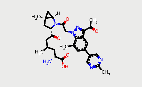 CC(=O)c1nn(CC(=O)N2[C@H](C(=O)CC(C)C[C@@H](N)C(=O)O)C[C@@]3(C)C[C@@H]23)c2c(C)cc(-c3cnc(C)nc3)cc12